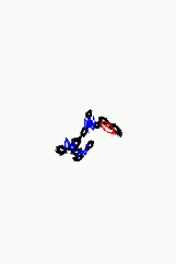 c1ccc(-c2nc(-c3ccc(-c4ccc5nc(-c6ccccc6)c6cc7c8ccccc8n(-c8ccccc8)c7cc6c5c4)cc3)nc(-c3cccc(-c4cccc5c4oc4ccccc45)c3)n2)cc1